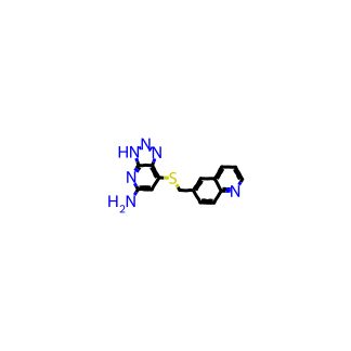 Nc1cc(SCc2ccc3ncccc3c2)c2nn[nH]c2n1